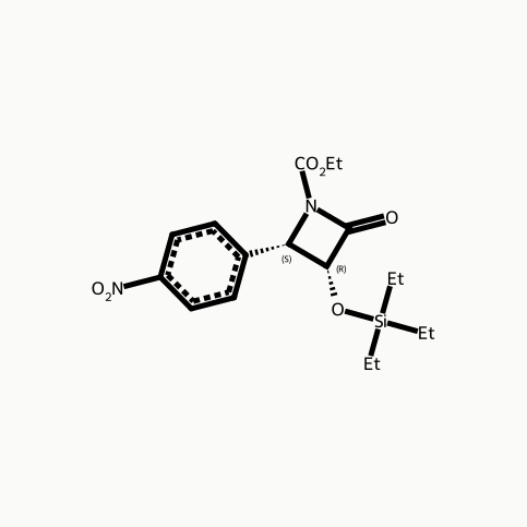 CCOC(=O)N1C(=O)[C@H](O[Si](CC)(CC)CC)[C@@H]1c1ccc([N+](=O)[O-])cc1